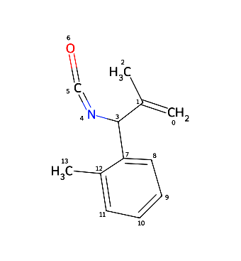 C=C(C)C(N=C=O)c1ccccc1C